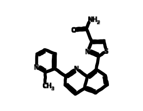 Cc1ncccc1-c1ccc2cccc(-c3nc(C(N)=O)cs3)c2n1